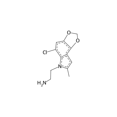 Cc1cc2c3c(cc(Cl)c2n1CCN)OCO3